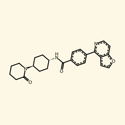 O=C(N[C@H]1CC[C@H](N2CCCCC2=O)CC1)c1ccc(-c2nccc3occc23)cc1